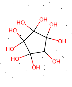 OC1C(O)(O)C(O)(O)C(O)(O)C1(O)O